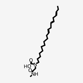 CCC=CCC=CCC=CCCCCCCCCCCN(CC(=O)NC)C(=O)O